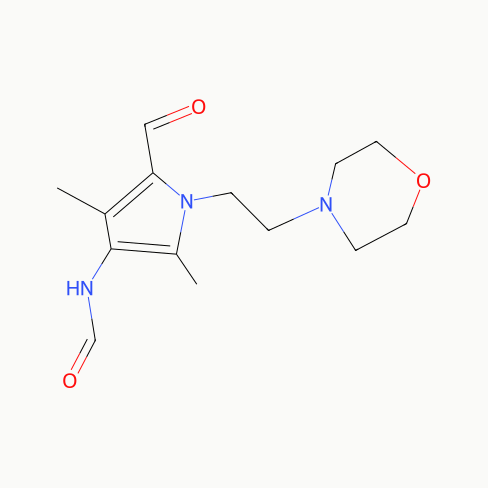 Cc1c(NC=O)c(C)n(CCN2CCOCC2)c1C=O